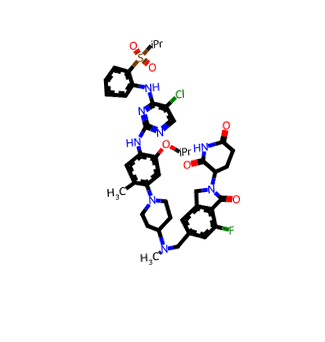 Cc1cc(Nc2ncc(Cl)c(Nc3ccccc3S(=O)(=O)C(C)C)n2)c(OC(C)C)cc1N1CCC(N(C)Cc2cc(F)c3c(c2)CN(C2CCC(=O)NC2=O)C3=O)CC1